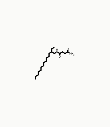 CCCCCCCCCCCCC(CC)CNC(=O)CCC(N)=O